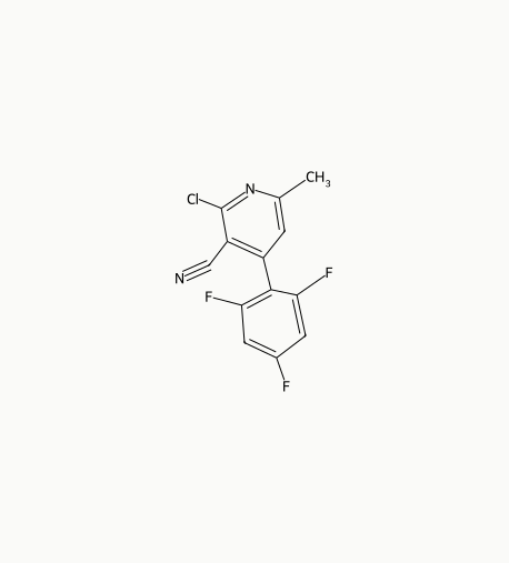 Cc1cc(-c2c(F)cc(F)cc2F)c(C#N)c(Cl)n1